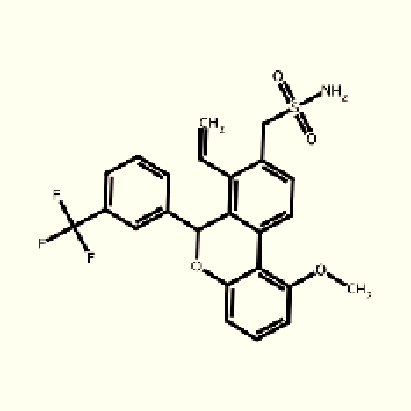 C=Cc1c(CS(N)(=O)=O)ccc2c1C(c1cccc(C(F)(F)F)c1)Oc1cccc(OC)c1-2